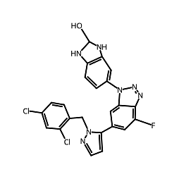 OC1Nc2ccc(-n3nnc4c(F)cc(-c5ccnn5Cc5ccc(Cl)cc5Cl)cc43)cc2N1